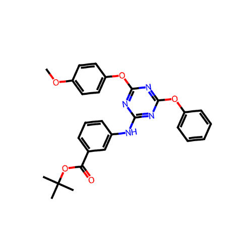 COc1ccc(Oc2nc(Nc3cccc(C(=O)OC(C)(C)C)c3)nc(Oc3ccccc3)n2)cc1